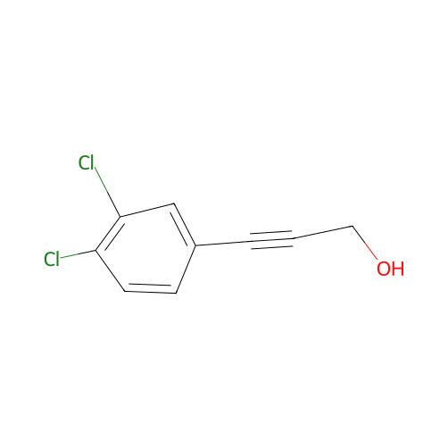 OCC#Cc1ccc(Cl)c(Cl)c1